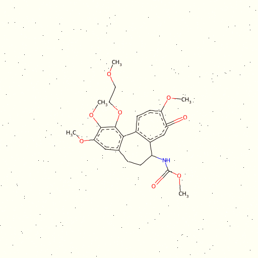 COCCOc1c(OC)c(OC)cc2c1-c1ccc(OC)c(=O)cc1C(NC(=O)OC)CC2